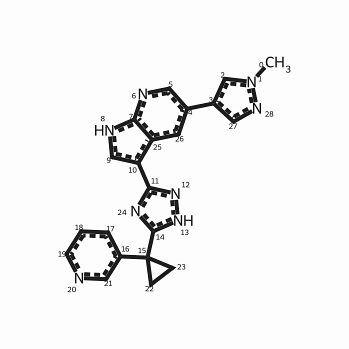 Cn1cc(-c2cnc3[nH]cc(-c4n[nH]c(C5(c6cccnc6)CC5)n4)c3c2)cn1